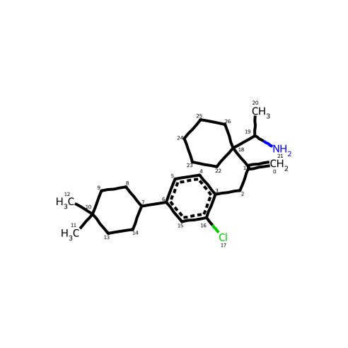 C=C(Cc1ccc(C2CCC(C)(C)CC2)cc1Cl)C1(C(C)N)CCCCC1